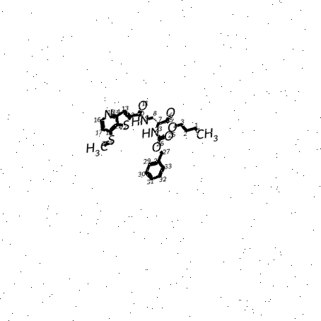 CCCCOC(=O)[C@@H](CNC(=O)c1cc2nccc(SC)c2s1)NC(=O)OCc1ccccc1